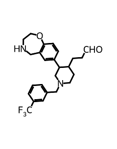 O=CCCC1CCN(Cc2cccc(C(F)(F)F)c2)CC1c1ccc2c(c1)CNCCO2